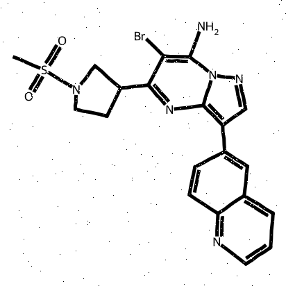 CS(=O)(=O)N1CCC(c2nc3c(-c4ccc5ncccc5c4)cnn3c(N)c2Br)C1